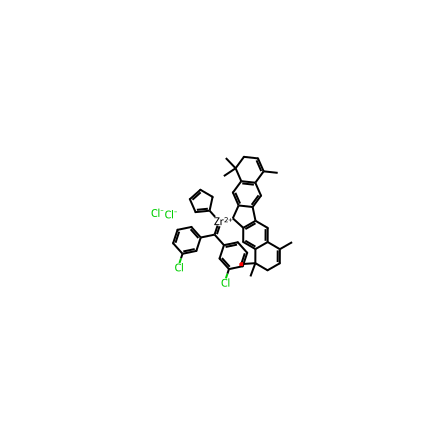 CC1=CCC(C)(C)c2cc3c(cc21)-c1cc2c(cc1[CH]3[Zr+2]([C]1=CC=CC1)=[C](c1cccc(Cl)c1)c1cccc(Cl)c1)C(C)(C)CC=C2C.[Cl-].[Cl-]